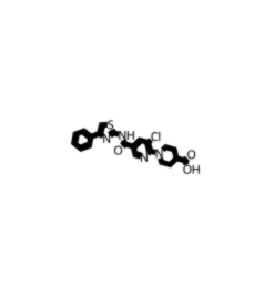 O=C(Nc1nc(-c2ccccc2)cs1)c1cnc(N2CCC(C(=O)O)CC2)c(Cl)c1